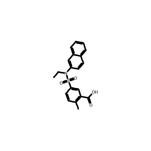 CCN(c1ccc2ccccc2c1)S(=O)(=O)c1ccc(C)c(C(=O)O)c1